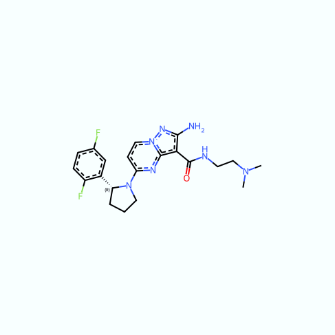 CN(C)CCNC(=O)c1c(N)nn2ccc(N3CCC[C@@H]3c3cc(F)ccc3F)nc12